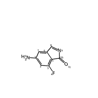 Nc1cc(F)c2c(c1)C=NC2=O